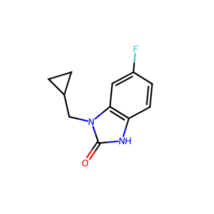 O=c1[nH]c2ccc(F)cc2n1CC1CC1